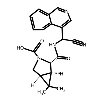 CC1(C)[C@@H]2[C@@H](C(=O)NC(C#N)c3cncc4ccccc34)N(C(=O)O)C[C@@H]21